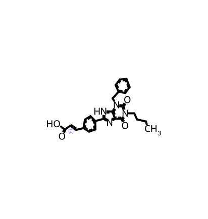 CCCCn1c(=O)c2nc(-c3ccc(/C=C/C(=O)O)cc3)[nH]c2n(Cc2ccccc2)c1=O